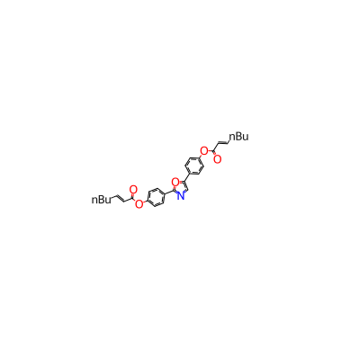 CCCCC=CC(=O)Oc1ccc(-c2cnc(-c3ccc(OC(=O)C=CCCCC)cc3)o2)cc1